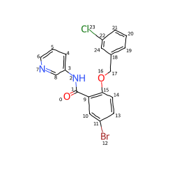 O=C(Nc1cccnc1)c1cc(Br)ccc1OCc1cccc(Cl)c1